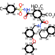 Cc1ccc(S(=O)(=O)NC(=O)c2cc(C(=O)N(Cc3cccc(Oc4ccccc4)c3)[C@H]3CCCc4ccccc43)c(C(=O)O)cc2C(=O)O)cc1